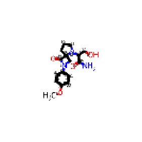 COc1ccc(N2CC3(CCCN3C(CO)C(N)=O)C2=O)cc1